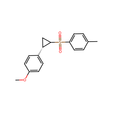 COc1ccc([C@@H]2CC2S(=O)(=O)c2ccc(C)cc2)cc1